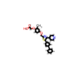 Cc1cc(OCc2nc(-c3ccncc3)c(-c3ccc(-c4ccccc4)cc3)s2)ccc1OCC(=O)O